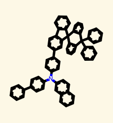 c1ccc(-c2ccc(N(c3ccc(-c4ccc5c(c4)C4(c6ccccc6-5)c5ccccc5C(c5ccccc5)(c5ccccc5)c5ccccc54)cc3)c3ccc4ccccc4c3)cc2)cc1